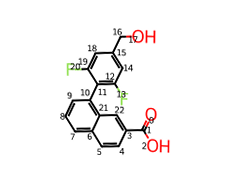 O=C(O)c1ccc2cccc(-c3c(F)cc(CO)cc3F)c2c1